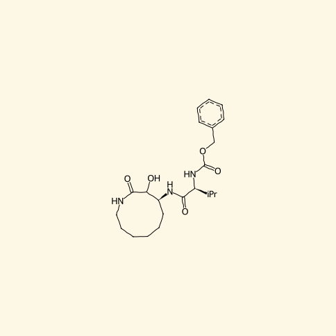 CC(C)[C@H](NC(=O)OCc1ccccc1)C(=O)N[C@H]1CCCCCCNC(=O)C1O